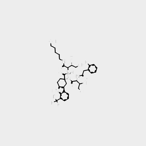 CCC(C)[C@H](NC(=O)Cc1ccccc1F)C(=O)N[C@]1(C(=O)NC(C(=O)NCCCCCO)[C@@H](C)CC)CCc2[nH]c3c(C(F)(F)F)cccc3c2C1